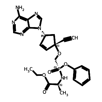 C#C[C@@]1(OC[P@@](=O)(N[C@@H](C)C(=O)OCC)Oc2ccccc2)C=C[C@H](n2cnc3c(N)ncnc32)C1